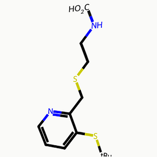 CC(C)(C)Sc1cccnc1CSCCNC(=O)O